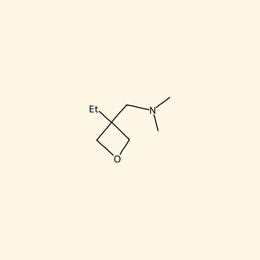 CCC1(CN(C)C)COC1